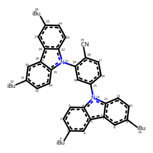 CCC(C)c1ccc2c(c1)c1cc(C(C)CC)ccc1n2-c1ccc(C#N)c(-n2c3ccc(C(C)CC)cc3c3cc(C(C)CC)ccc32)c1